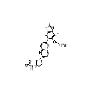 COCOc1c(-c2ccc3nc(N4CC[C@H](NC5(CF)CC5)C4)ccc3n2)cc2oc(C)nc2c1F